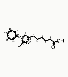 Cc1nc(CCCCCC(=O)O)cn1-c1ccccc1